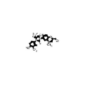 CN1C[C@H](CO)Oc2ccc(N3C(=S)N(c4ccc(C#N)c(C(F)(F)F)c4F)C(=O)C3(C)C)cc21